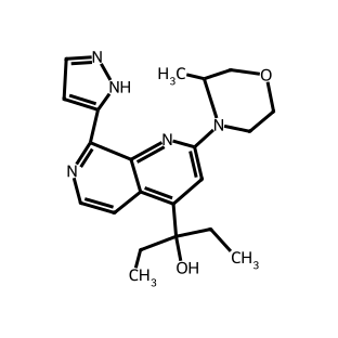 CCC(O)(CC)c1cc(N2CCOCC2C)nc2c(-c3ccn[nH]3)nccc12